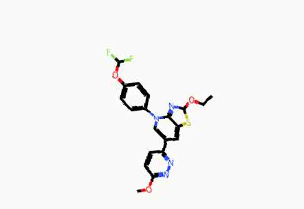 CCOC1N=C2C(=CC(c3ccc(OC)nn3)=CN2c2ccc(OC(F)F)cc2)S1